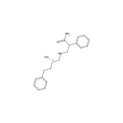 NC(=O)C(CNC[C@@H](O)[CH]Cc1ccccc1)c1ccccc1